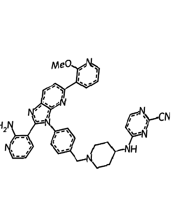 COc1ncccc1-c1ccc2nc(-c3cccnc3N)n(-c3ccc(CN4CCC(Nc5ccnc(C#N)n5)CC4)cc3)c2n1